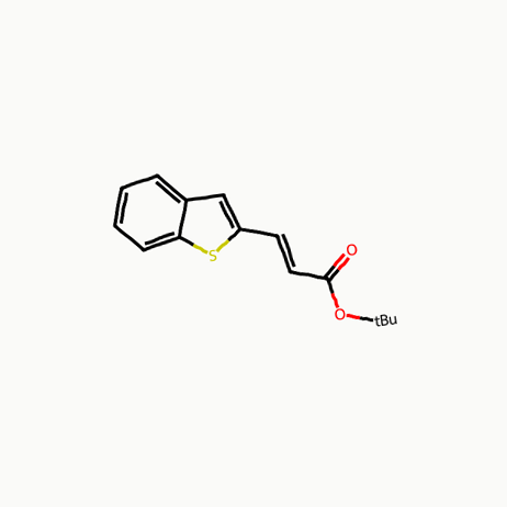 CC(C)(C)OC(=O)/C=C/c1cc2ccccc2s1